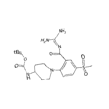 CC(C)(C)OC(=O)NC1CCN(c2ccc(S(C)(=O)=O)cc2C(=O)N=C(N)N)CC1